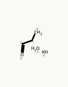 CCC=O.O.[KH]